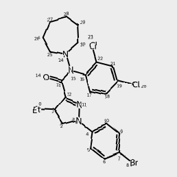 CCC1CN(c2ccc(Br)cc2)N=C1C(=O)N(c1ccc(Cl)cc1Cl)N1CCCCCC1